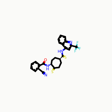 N#Cc1ccccc1C(=O)N[C@H]1CC[C@@H](C(=S)Nc2cc(C(F)(F)F)nc3ccccc23)CCC1=S